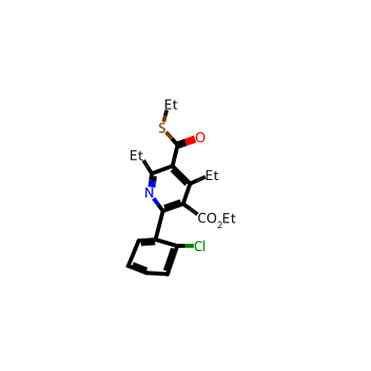 CCOC(=O)c1c(-c2ccccc2Cl)nc(CC)c(C(=O)SCC)c1CC